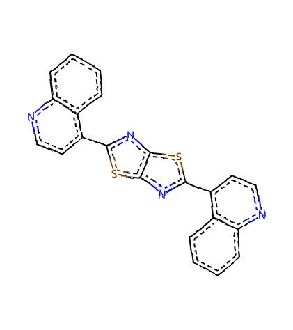 c1ccc2c(-c3nc4sc(-c5ccnc6ccccc56)nc4s3)ccnc2c1